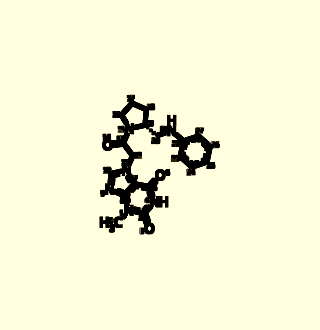 Cn1c(=O)[nH]c(=O)c2c1ncn2CC(=O)N1CCC[C@@H]1CNc1ccccc1